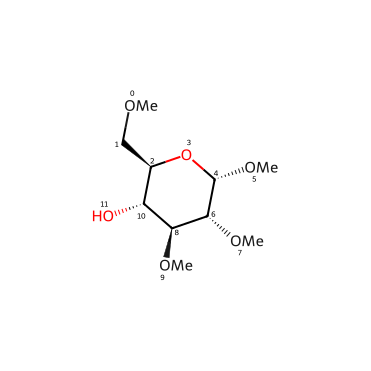 COC[C@H]1O[C@H](OC)[C@H](OC)[C@@H](OC)[C@@H]1O